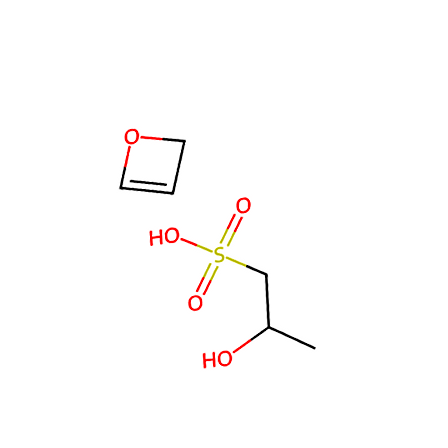 C1=COC1.CC(O)CS(=O)(=O)O